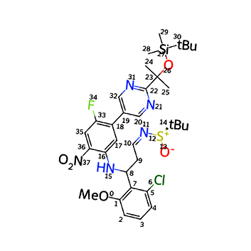 COc1cccc(Cl)c1C(C/C=N\[S@+]([O-])C(C)(C)C)Nc1cc(-c2cnc(C(C)(C)O[Si](C)(C)C(C)(C)C)nc2)c(F)cc1[N+](=O)[O-]